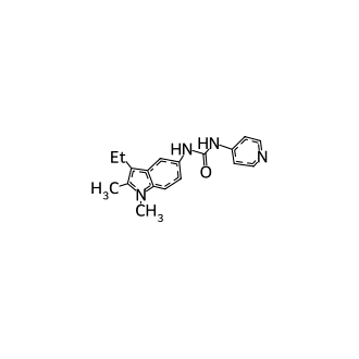 CCc1c(C)n(C)c2ccc(NC(=O)Nc3ccncc3)cc12